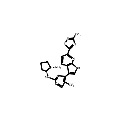 Cc1nsc(-c2ccc3c(-c4nc(N[C@H]5CCC[C@@H]5N)ncc4C(F)(F)F)c[nH]c3n2)n1